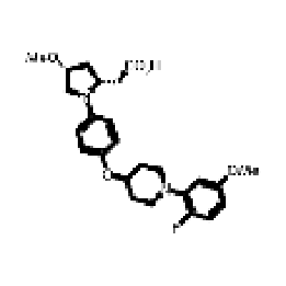 COc1ccc(F)c(N2CCC(Oc3ccc(N4C[C@H](OC)C[C@@H]4CC(=O)O)cc3)CC2)c1